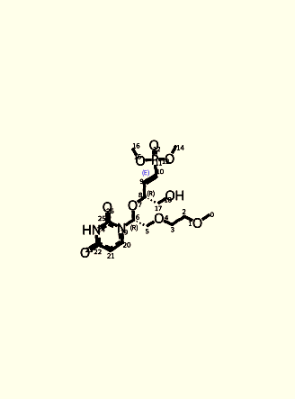 COCCOC[C@@H](O[C@H](/C=C/P(=O)(OC)OC)CO)n1ccc(=O)[nH]c1=O